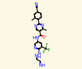 Cc1cc(C#N)ccc1-c1ncc(C(=O)Nc2cnc(N/N=C\C=N)c(C(F)(F)F)c2)c(C)n1